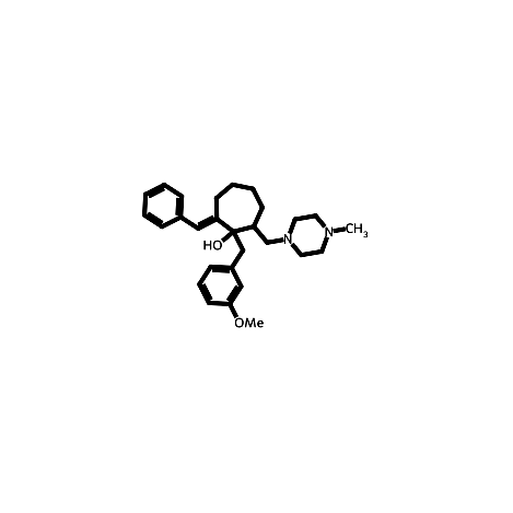 COc1cccc(CC2(O)C(=Cc3ccccc3)CCCCC2CN2CCN(C)CC2)c1